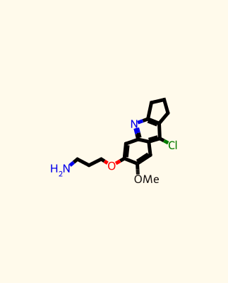 COc1cc2c(Cl)c3c(nc2cc1OCCCN)CCC3